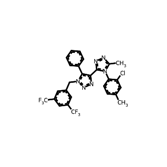 Cc1ccc(-n2c(C)nnc2-c2nnn(Cc3cc(C(F)(F)F)cc(C(F)(F)F)c3)c2-c2ccccc2)c(Cl)c1